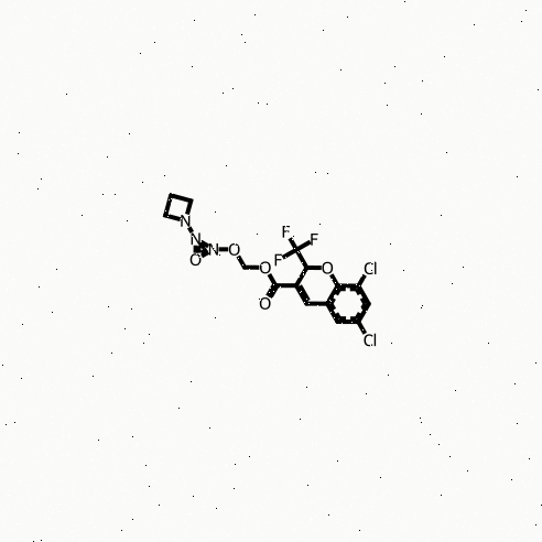 O=C(OCOn1on1N1CCC1)C1=Cc2cc(Cl)cc(Cl)c2OC1C(F)(F)F